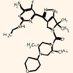 CCNc1nc(N)c(F)c(-c2n[nH]c3c2CN(C(=O)N2C[C@@H](C)N(C4CCOCC4)C[C@@H]2C)C3(C)C)n1